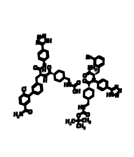 CC(C)(C)OC(=O)NC[C@H]1CC[C@H](C(=O)N(c2ccc(-c3nnn[nH]3)cc2)[C@@H](Cc2cccc(Br)c2)C(N)=O)CC1.NC(=O)c1ccc(Cl)c(-c2cccc(C[C@H](NC(=O)[C@H]3CC[C@H](CNC(=O)O)CC3)C(=O)Nc3ccc(-c4nnn[nH]4)cc3)c2)c1